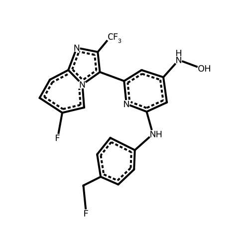 ONc1cc(Nc2ccc(CF)cc2)nc(-c2c(C(F)(F)F)nc3ccc(F)cn23)c1